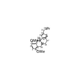 COc1ccc(OC)c2c1C[C@H]1c3cc(CC(C)C)sc3CCN1C2